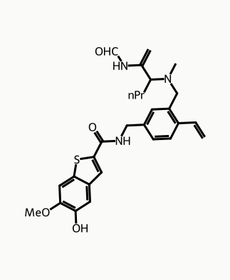 C=Cc1ccc(CNC(=O)c2cc3cc(O)c(OC)cc3s2)cc1CN(C)C(CCC)C(=C)NC=O